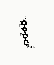 CCCCCC1CCC(c2ccc(-c3ccc(-c4ccc(CCC)c(F)c4F)cc3)c(F)c2)CO1